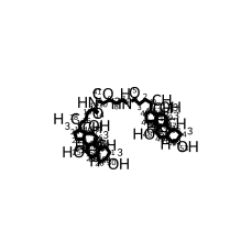 CC(CCC(=O)NCCCCC(NC(=O)CCC(C)C1CC[C@H]2[C@H]3C(O)C[C@@H]4C[C@H](O)CCC4(C)[C@H]3CC(O)C12C)C(=O)O)C1CC[C@H]2[C@H]3C(O)C[C@@H]4C[C@H](O)CCC4(C)[C@H]3CC(O)C12C